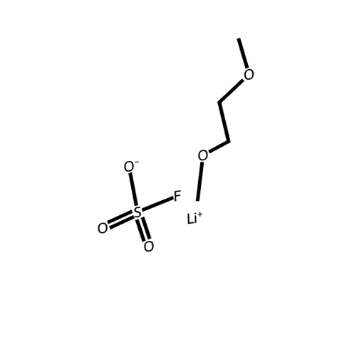 COCCOC.O=S(=O)([O-])F.[Li+]